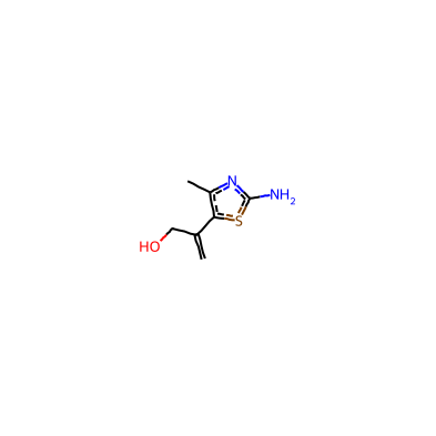 C=C(CO)c1sc(N)nc1C